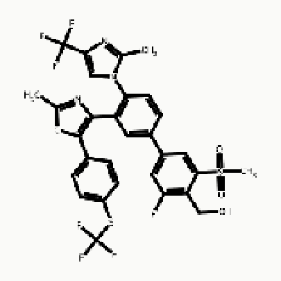 Cc1nc(-c2cc(-c3cc(F)c(CO)c(S(C)(=O)=O)c3)ccc2-n2cc(C(F)(F)F)nc2C)c(-c2ccc(SC(F)(F)F)cc2)o1